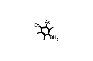 Bc1c(C)c(C)c(CC)c(C(C)=O)c1C